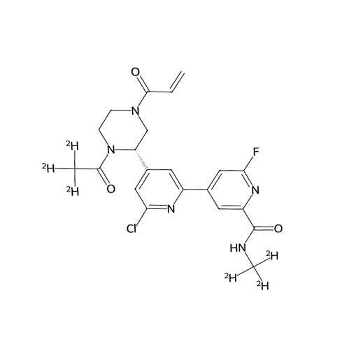 [2H]C([2H])([2H])NC(=O)c1cc(-c2cc([C@H]3CN(C(=O)C=C)CCN3C(=O)C([2H])([2H])[2H])cc(Cl)n2)cc(F)n1